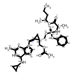 CCC[C@H](C)OC(=O)[C@H](C)NP(=S)(OC[C@@]1(COC(C)=O)C/C1=C/n1cnc2c1N=C(N)NC2NC1CC1)Oc1ccccc1